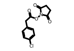 O=C(Cc1ccc(Cl)cc1)ON1C(=O)CCC1=O